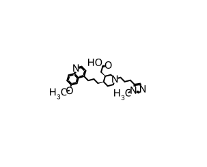 COc1ccc2nccc(CCC[C@@H]3CCN(CCCc4cncn4C)C[C@@H]3CC(=O)O)c2c1